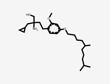 COc1cc(OCCCCC(C)CCCC(C)C)ccc1CCC(N)(CO)CC1CC1